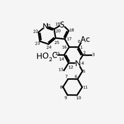 CC(=O)C1=C(C)N(CC2CCCCC2)C(C)=C(C(=O)O)C1c1csc2ncccc12